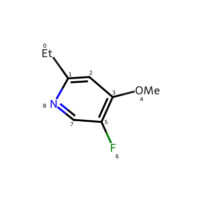 [CH2]Cc1cc(OC)c(F)cn1